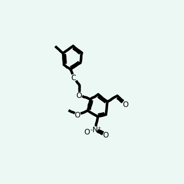 COc1c(OCCc2cccc(C)c2)cc(C=O)cc1[N+](=O)[O-]